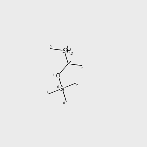 C[SiH2]C(C)O[Si](C)(C)C